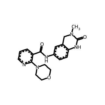 CN1Cc2cc(NC(=O)c3cccnc3N3CCOCC3)ccc2NC1=O